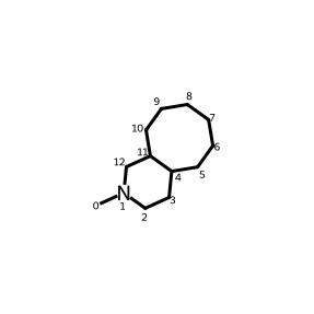 CN1CCC2CCCCCCC2C1